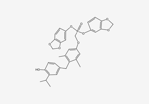 Cc1cc(OCP(=O)(Oc2ccc3c(c2)OCO3)Oc2ccc3c(c2)OCO3)cc(C)c1Cc1ccc(O)c(C(C)C)c1